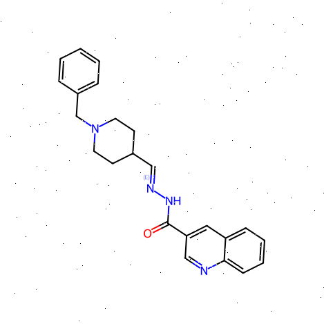 O=C(N/N=C/C1CCN(Cc2ccccc2)CC1)c1cnc2ccccc2c1